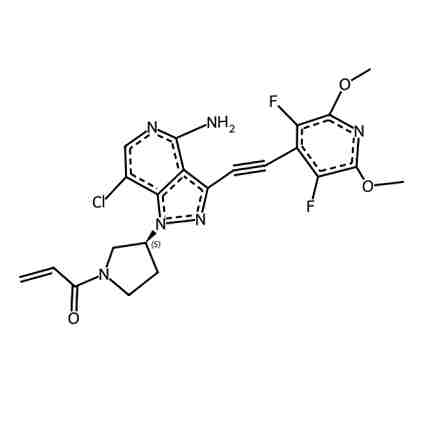 C=CC(=O)N1CC[C@H](n2nc(C#Cc3c(F)c(OC)nc(OC)c3F)c3c(N)ncc(Cl)c32)C1